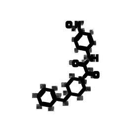 O=C(Nc1ccc([N+](=O)[O-])cc1)C(=O)N1CCC(Cc2ccccc2)CC1